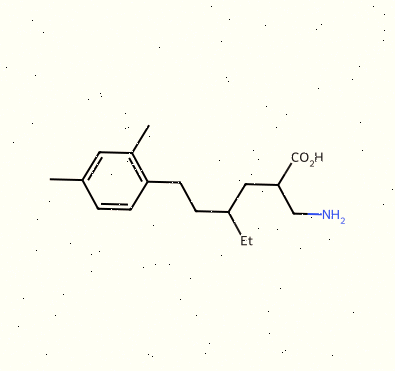 CCC(CCc1ccc(C)cc1C)CC(CN)C(=O)O